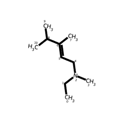 CCN(C)C/C=C(\C)C(C)C